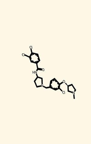 CN1CC[C@H](Oc2ccc(CN3CCC(NC(=O)c4ccc(Cl)c(Cl)c4)C3)cc2Cl)C1